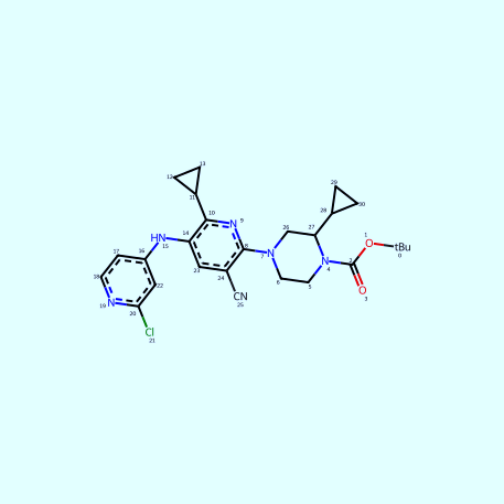 CC(C)(C)OC(=O)N1CCN(c2nc(C3CC3)c(Nc3ccnc(Cl)c3)cc2C#N)CC1C1CC1